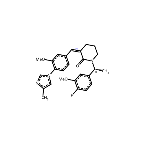 COc1cc([C@H](C)N2CCC/C(=C/c3ccc(-n4cnc(C)c4)c(OC)c3)C2=O)ccc1F